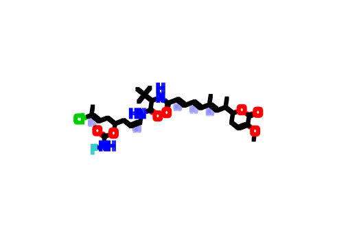 COC1=CCC(C(C)/C=C(C)/C=C/C=C/C(=O)NC(C(=O)N/C=C\CC(C/C=C(\C)Cl)OC(=O)NF)C(C)(C)C)OC1=O